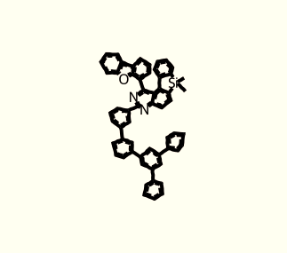 C[Si]1(C)c2ccccc2-c2c1ccc1nc(-c3cccc(-c4cccc(-c5cc(-c6ccccc6)cc(-c6ccccc6)c5)c4)c3)nc(-c3cccc4c3oc3ccccc34)c21